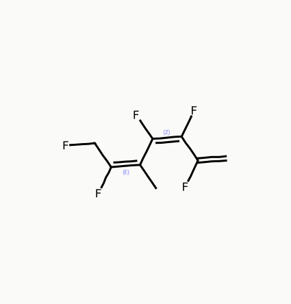 C=C(F)/C(F)=C(F)\C(C)=C(\F)CF